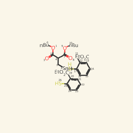 CCCCOC(=O)C([CH2][SnH])C(=O)OCCCC.CCOC(=O)c1ccccc1S.CCOC(=O)c1ccccc1S